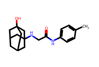 Cc1ccc(NC(=O)CNC23CC4CC(CC(O)(C4)C2)C3)cc1